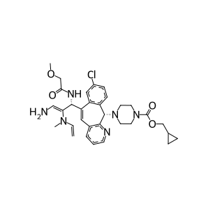 C=CN(C)/C(=C\N)[C@H](NC(=O)COC)C1=Cc2cccnc2[C@@H](N2CCN(C(=O)OCC3CC3)CC2)c2ccc(Cl)cc21